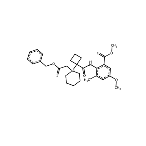 COC(=O)c1cc(OC)cc(C)c1NC(=O)C1([N+]2(CC(=O)OCc3ccccc3)CCCCC2)CCC1